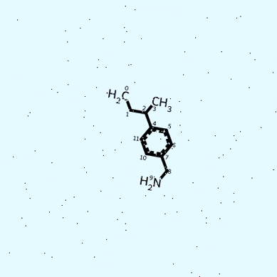 [CH2]CC(C)c1ccc(CN)cc1